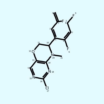 C=C(F)/C=C(\C(F)=C/CF)C1COc2cnc(Cl)nc2N1C